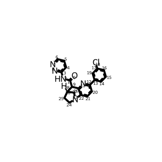 O=C(Nc1cccnn1)C1c2nc(-c3cccc(Cl)c3)ccc2N2CC[C@H]1C2